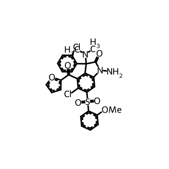 COc1ccccc1S(=O)(=O)c1cc2c(c(C(=O)c3ccco3)c1Cl)C(c1ccccc1Cl)(N(C)C)C(=O)N2N